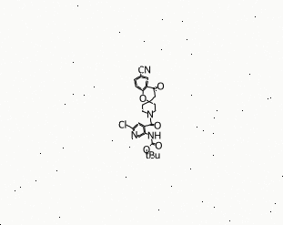 CC(C)(C)OC(=O)Nc1cnc(Cl)cc1C(=O)N1CCC2(CC1)CC(=O)c1cc(C#N)ccc1O2